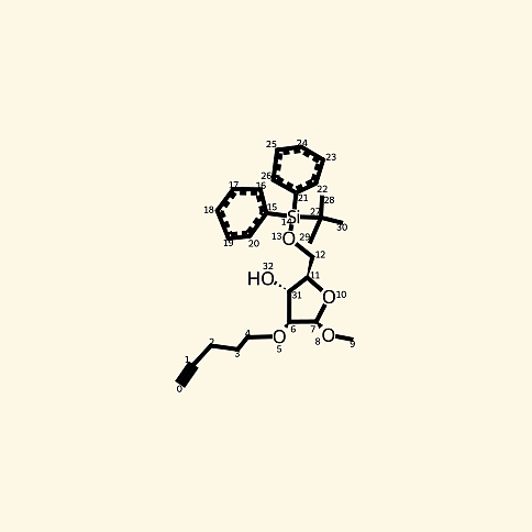 C#CCCCO[C@H]1[C@H](OC)O[C@H](CO[Si](c2ccccc2)(c2ccccc2)C(C)(C)C)[C@H]1O